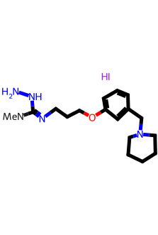 CNC(=NCCCOc1cccc(CN2CCCCC2)c1)NN.I